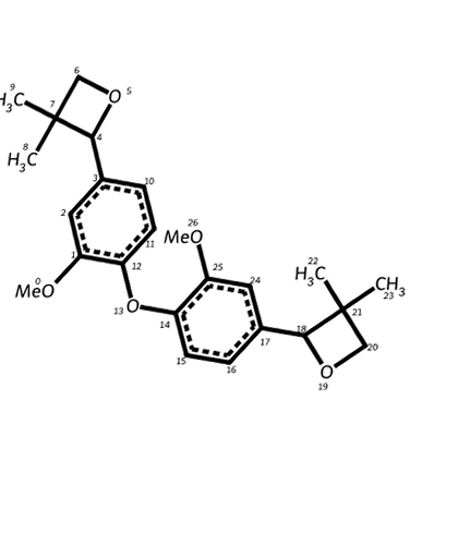 COc1cc(C2OCC2(C)C)ccc1Oc1ccc(C2OCC2(C)C)cc1OC